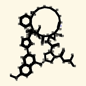 COc1ccc2c(O[C@@H]3C[C@@H](C(=O)N[C@]45C[C@@H]4/C=C\CCCCCNc4ccccc4S(=O)(=O)NC5=O)N(C(=O)C=C(C)C)C3)cc(-c3csc(NC(C)C)n3)nc2c1